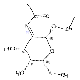 CBO[C@@H]1O[C@H](CO)[C@H](O)[C@H](O)/C1=N/C(C)=O